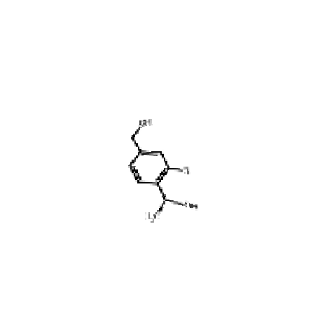 C[C@H](O)c1ccc(CO)cc1Cl